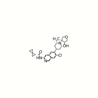 C[C@]1(N2CCC(c3cc4cc(NC(=O)[C@@H]5CC56CC6)ncc4cc3Cl)CC2)COC[C@H]1O